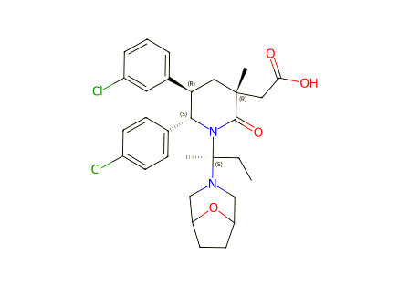 CC[C@@](C)(N1CC2CCC(C1)O2)N1C(=O)[C@@](C)(CC(=O)O)C[C@H](c2cccc(Cl)c2)[C@H]1c1ccc(Cl)cc1